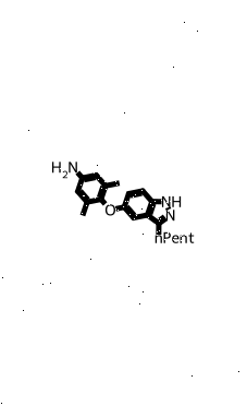 CCCCCc1n[nH]c2ccc(Oc3c(C)cc(N)cc3C)cc12